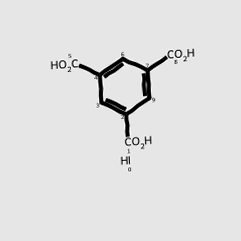 I.O=C(O)c1cc(C(=O)O)cc(C(=O)O)c1